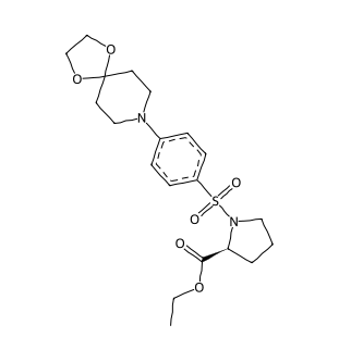 CCOC(=O)[C@@H]1CCCN1S(=O)(=O)c1ccc(N2CCC3(CC2)OCCO3)cc1